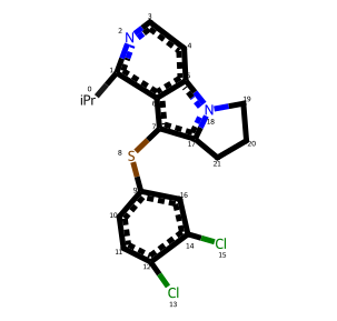 CC(C)c1nccc2c1c(Sc1ccc(Cl)c(Cl)c1)c1n2CCC1